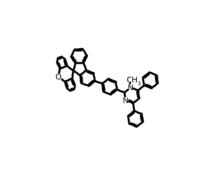 CN1C(c2ccccc2)=CC(c2ccccc2)=NC1c1ccc(-c2ccc3c(c2)-c2ccccc2C32c3ccccc3Oc3ccccc32)cc1